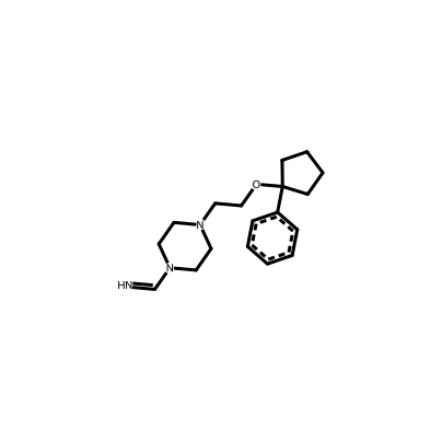 N=CN1CCN(CCOC2(c3ccccc3)CCCC2)CC1